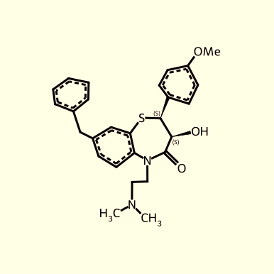 COc1ccc([C@@H]2Sc3cc(Cc4ccccc4)ccc3N(CCN(C)C)C(=O)[C@@H]2O)cc1